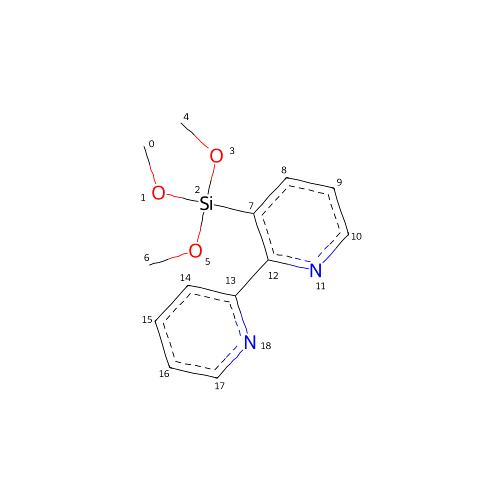 CO[Si](OC)(OC)c1cccnc1-c1ccccn1